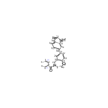 C/C=C\C(=C/C)C(=O)N1CCOc2ccc(-c3ccc4nc[nH]c4c3)cc2C1